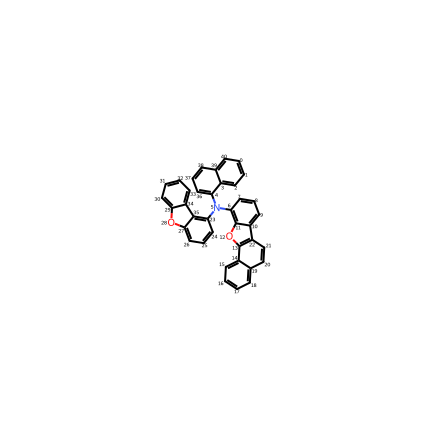 c1ccc2c(N(c3cccc4c3oc3c5ccccc5ccc43)c3cccc4oc5ccccc5c34)cccc2c1